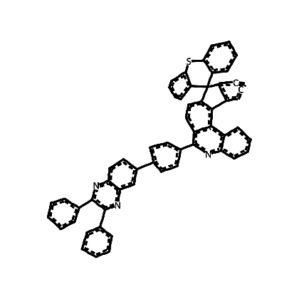 c1ccc(-c2nc3ccc(-c4ccc(-c5nc6ccccc6c6c7c(ccc56)C5(c6ccccc6Sc6ccccc65)c5ccccc5-7)cc4)cc3nc2-c2ccccc2)cc1